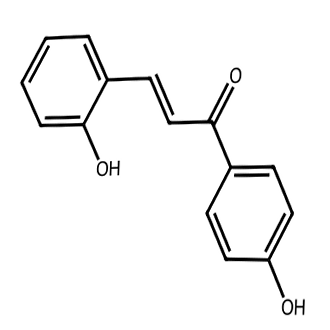 O=C(C=Cc1ccccc1O)c1ccc(O)cc1